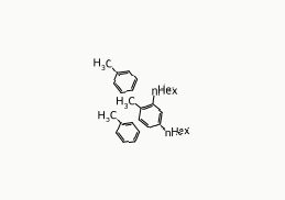 CCCCCCc1ccc(C)c(CCCCCC)c1.Cc1ccccc1.Cc1ccccc1